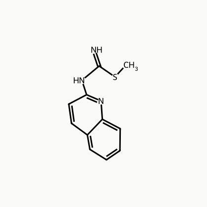 CSC(=N)Nc1ccc2ccccc2n1